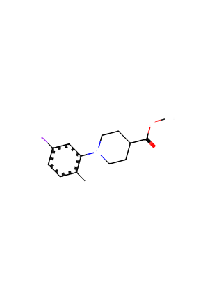 CC(C)(C)OC(=O)C1CCN(c2cc(I)ccc2C=O)CC1